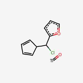 ClC(c1ccco1)C1C=CC=C1.[O]=[Ti]